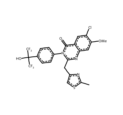 COc1cc2nc(Cc3csc(C)n3)n(-c3ccc(C(O)(C(F)(F)F)C(F)(F)F)cc3)c(=O)c2cc1Cl